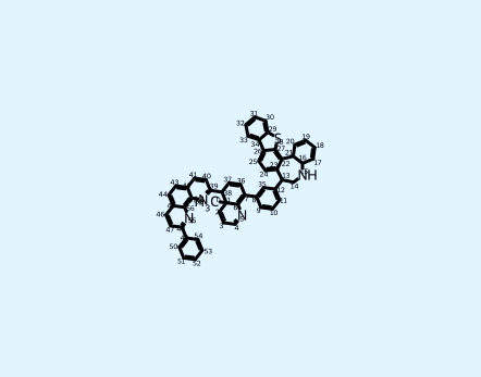 CC12C=CC=NC1=C(c1cccc(C3CNC4C=CC=CC4c4c3ccc3c4sc4ccccc43)c1)C=CC2c1ccc2ccc3ccc(-c4ccccc4)nc3c2n1